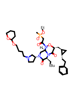 CCOP(C)(=O)CC(=O)N1O[C@H](C[C@H]2C[C@@H]2CCc2ccccc2)C(=O)N2[C@@H](CC(C)(C)C)C(=O)N([C@@H]3CCN(CCCCOC4CCCCO4)C3)C[C@@H]12